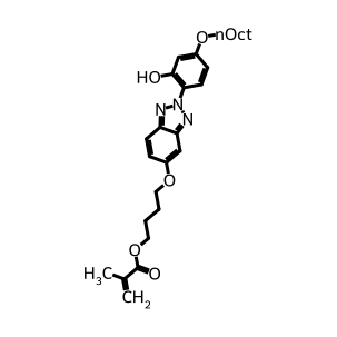 C=C(C)C(=O)OCCCCOc1ccc2nn(-c3ccc(OCCCCCCCC)cc3O)nc2c1